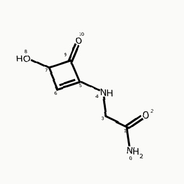 NC(=O)CNC1=CC(O)C1=O